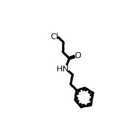 O=C(CCCl)NCCc1ccccc1